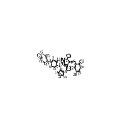 O=C1NN(C(c2ccc(C3=CCOCC3)cc2)c2ccsc2)C(=O)C1Sc1ccccc1Cl